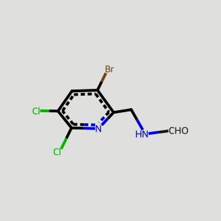 O=CNCc1nc(Cl)c(Cl)cc1Br